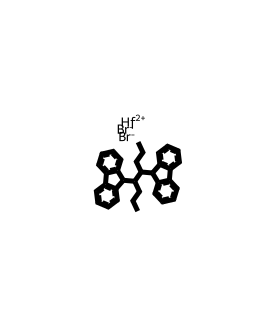 CCCC(C1c2ccccc2-c2ccccc21)C(CCC)C1c2ccccc2-c2ccccc21.[Br-].[Br-].[Hf+2]